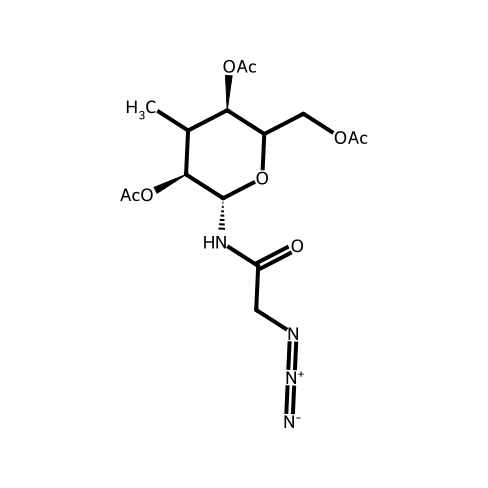 CC(=O)OCC1O[C@H](NC(=O)CN=[N+]=[N-])[C@@H](OC(C)=O)C(C)[C@H]1OC(C)=O